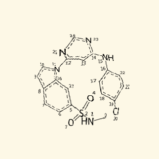 CNS(=O)(=O)c1ccc2ccn(-c3cc(Nc4ccc(Cl)cc4)ncn3)c2c1